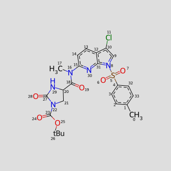 Cc1ccc(S(=O)(=O)n2cc(Cl)c3ccc(N(C)C(=O)C4CN(C(=O)OC(C)(C)C)C(=O)N4)nc32)cc1